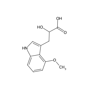 COc1cccc2[nH]cc(CC(O)C(=O)O)c12